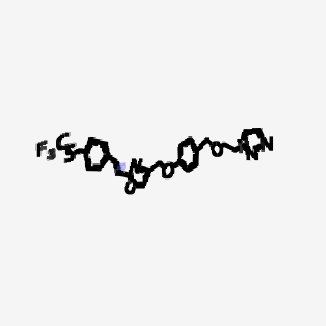 FC(F)(F)Sc1ccc(/C=C/c2nc(COc3ccc(COCCn4ccnn4)cc3)co2)cc1